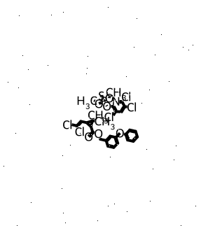 CC1(C)C(C=C(Cl)Cl)C1C(=O)OCc1cccc(Oc2ccccc2)c1.COP(=S)(OC)Oc1nc(Cl)c(Cl)cc1Cl